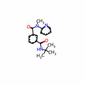 CN(C(=O)c1cccc(C(=O)NC(C)(C)C)c1)c1ccccn1